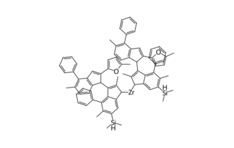 CC1=C(C2C(c3ccc(C)o3)=Cc3c2ccc(C)c3-c2ccccc2)c2c(cc([SiH](C)C)c(C)c2-c2ccccc2)[CH]1[Zr][CH]1C(C)=C(C2C(c3ccc(C)o3)=Cc3c2ccc(C)c3-c2ccccc2)c2c1cc([SiH](C)C)c(C)c2-c1ccccc1